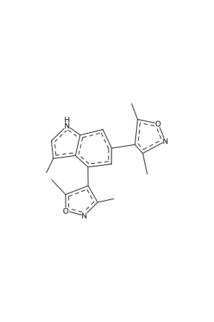 Cc1noc(C)c1-c1cc(-c2c(C)noc2C)c2c(C)c[nH]c2c1